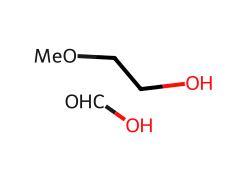 COCCO.O=CO